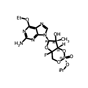 CCOc1nc(N)nc2c1ncn2[C@@H]1OC2(F)CO[P@@](=O)(OC(C)C)O[C@H]2[C@@]1(C)O